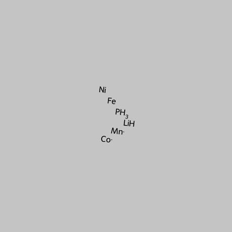 P.[Co].[Fe].[LiH].[Mn].[Ni]